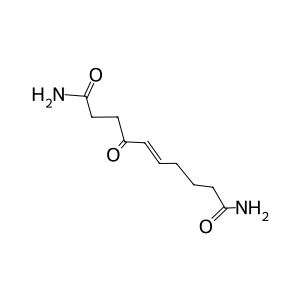 NC(=O)CCC/C=C/C(=O)CCC(N)=O